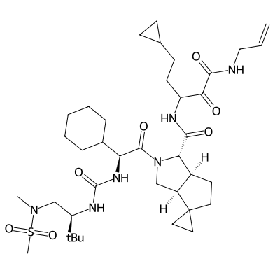 C=CCNC(=O)C(=O)C(CCC1CC1)NC(=O)[C@@H]1[C@H]2CCC3(CC3)[C@H]2CN1C(=O)[C@@H](NC(=O)N[C@H](CN(C)S(C)(=O)=O)C(C)(C)C)C1CCCCC1